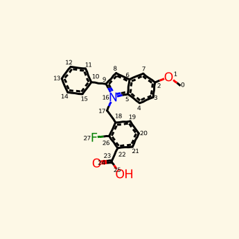 COc1ccc2c(c1)cc(-c1ccccc1)n2Cc1cccc(C(=O)O)c1F